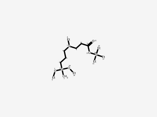 CCO[Si](C)(CCCN(CC)CCC(=O)O[Si](CC)(CC)CC)OCC